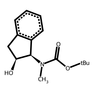 CN(C(=O)OC(C)(C)C)[C@@H]1c2ccccc2C[C@@H]1O